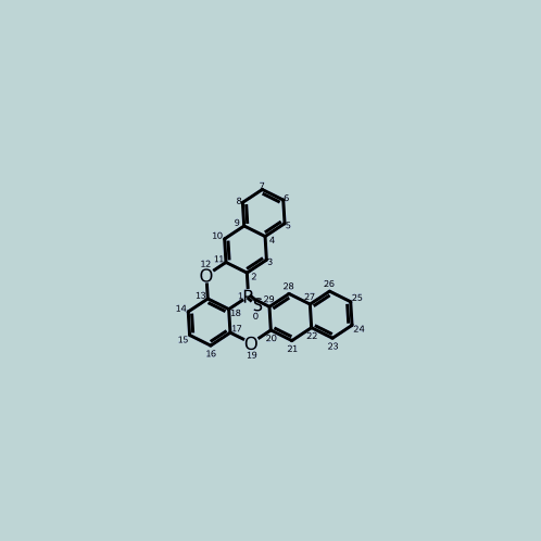 S=P12c3cc4ccccc4cc3Oc3cccc(c31)Oc1cc3ccccc3cc12